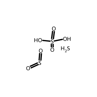 O=S(=O)(O)O.O=S=O.S